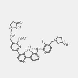 COc1nc(-c2ccnc(-c3cccc(Nc4nccc(CN5CC[C@@H](O)C5)c4F)c3C)c2Cl)ccc1CNC[C@H]1CCC(=O)N1